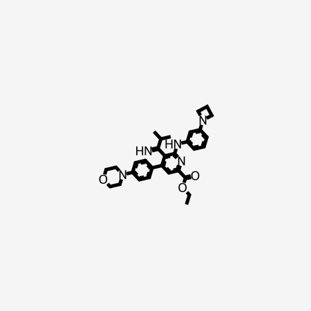 CCOC(=O)c1cc(-c2ccc(N3CCOCC3)cc2)c(C(=N)C(C)C)c(Nc2cccc(N3CCC3)c2)n1